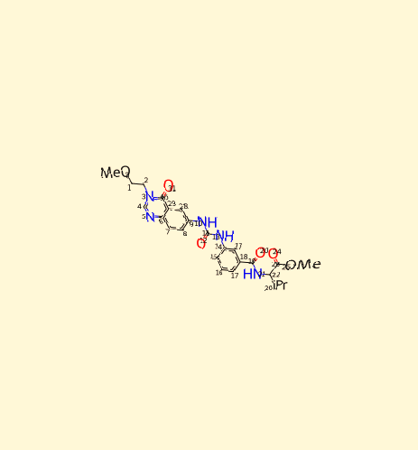 COCCn1cnc2ccc(NC(=O)Nc3cccc(C(=O)NC(C(=O)OC)C(C)C)c3)cc2c1=O